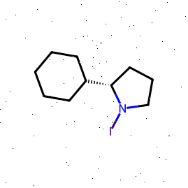 IN1CCC[C@H]1C1CCCCC1